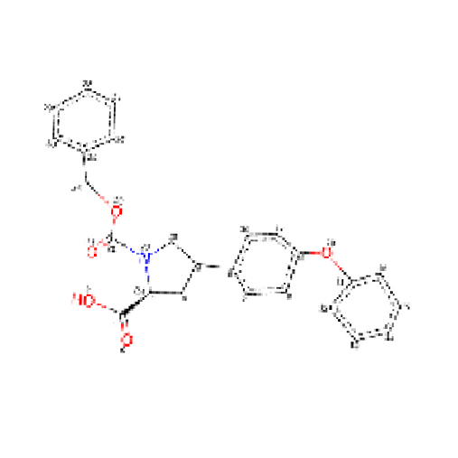 O=C(O)[C@@H]1CC(c2ccc(Oc3ccccc3)cc2)CN1C(=O)OCc1ccccc1